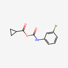 O=C(Nc1cccc(Br)c1)OC(=O)C1CC1